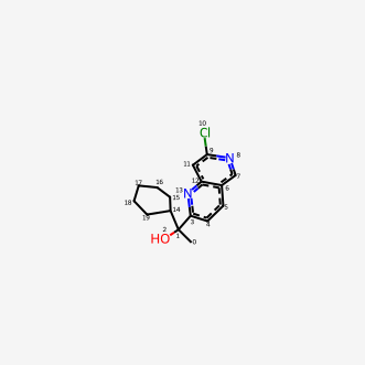 CC(O)(c1ccc2cnc(Cl)cc2n1)C1CCCCC1